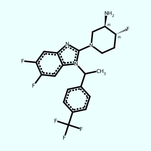 CC(c1ccc(C(F)(F)F)cc1)n1c(N2CC[C@@H](F)[C@H](N)C2)nc2cc(F)c(F)cc21